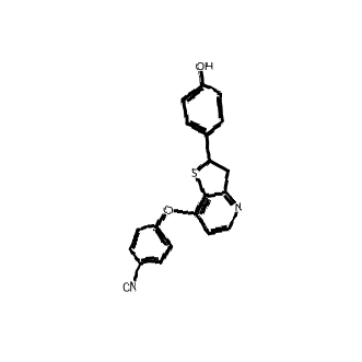 O=Nc1ccc(Oc2ccnc3c2SC(c2ccc(O)cc2)C3)cc1